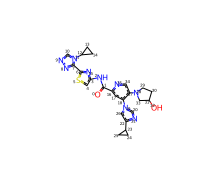 O=C(Nc1csc(-c2nncn2C2CC2)n1)c1cc(-n2cnc(C3CC3)c2)c(N2CCC(O)C2)cn1